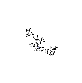 COc1cc(/C(C=N)=C2\C=CC(N3CCOC(C(F)(F)F)C3)=CN2)cc(CCN(C=O)CC(F)(F)F)c1C